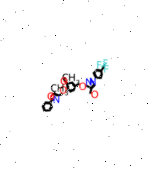 COc1cc(COc2nn(-c3ccc(C(F)(F)F)cc3)cc2C=O)ccc1OCc1nc(-c2ccccc2)oc1C